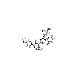 CCOc1ccc([C@H](CC(=O)O)NC(=O)c2cc(OC[C@](C)(O)C(C)C)n(-c3ccccc3F)n2)cc1